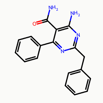 NC(=O)c1c(N)nc(Cc2ccccc2)nc1-c1ccccc1